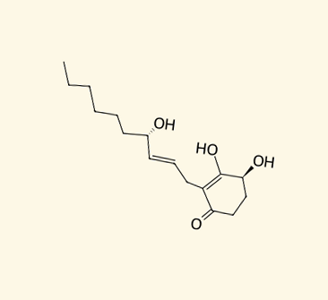 CCCCCC[C@H](O)/C=C/CC1=C(O)[C@@H](O)CCC1=O